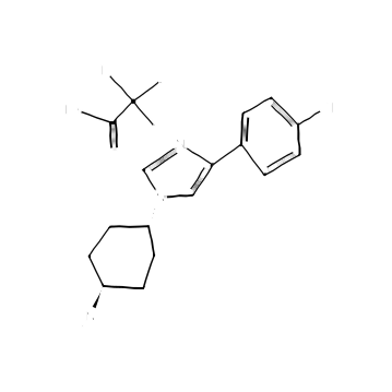 N[C@H]1CC[C@H](n2cnc(-c3ccc(Cl)cc3)c2)CC1.O=C(O)C(F)(F)F